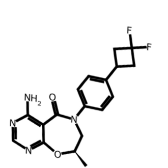 C[C@@H]1CN(c2ccc(C3CC(F)(F)C3)cc2)C(=O)c2c(N)ncnc2O1